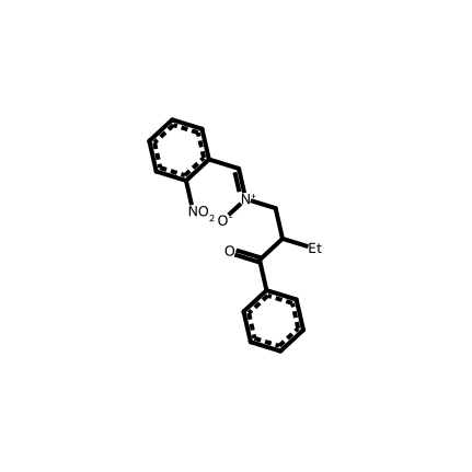 CCC(C[N+]([O-])=Cc1ccccc1[N+](=O)[O-])C(=O)c1ccccc1